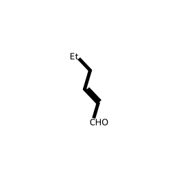 CCCC=CC=O